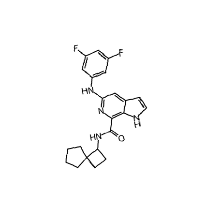 O=C(NC1CCC12CCCC2)c1nc(Nc2cc(F)cc(F)c2)cc2cc[nH]c12